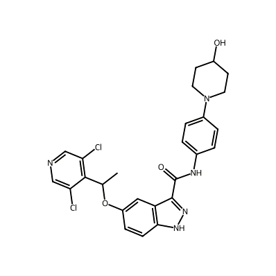 CC(Oc1ccc2[nH]nc(C(=O)Nc3ccc(N4CCC(O)CC4)cc3)c2c1)c1c(Cl)cncc1Cl